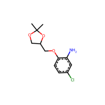 CC1(C)OCC(COc2ccc(Cl)cc2N)O1